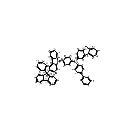 c1ccc(-c2ccc(N(c3ccc(-n4c5ccccc5c5cc(C6(c7ccccc7)c7ccccc7-c7ccccc76)ccc54)cc3)c3ccc4oc5ccccc5c4c3)cc2)cc1